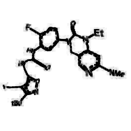 CCN1C(=O)N(c2ccc(F)c(NC(=O)Nc3onc(C(C)(C)C)c3F)c2)Cc2cnc(NC)cc21